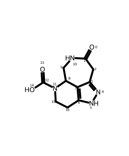 O=C1Cc2n[nH]c3c2C(CN1)N(C(=O)O)CC3